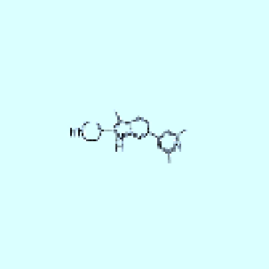 Cc1cc(-c2ccc3c(C)c(C4=CCNCC4)[nH]c3c2)cc(C)n1